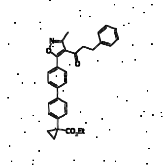 CCOC(=O)C1(c2ccc(-c3ccc(-c4onc(C)c4C(=O)CCc4ccccc4)cc3)cc2)CC1